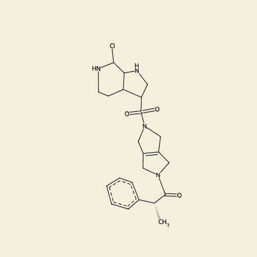 C[C@@H](C(=O)N1CC2=C(C1)CN(S(=O)(=O)C1CNC3C(Cl)NCCC31)C2)c1ccccc1